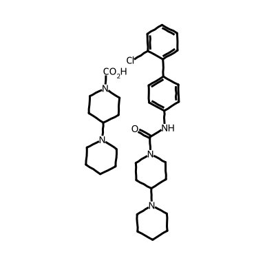 O=C(Nc1ccc(-c2ccccc2Cl)cc1)N1CCC(N2CCCCC2)CC1.O=C(O)N1CCC(N2CCCCC2)CC1